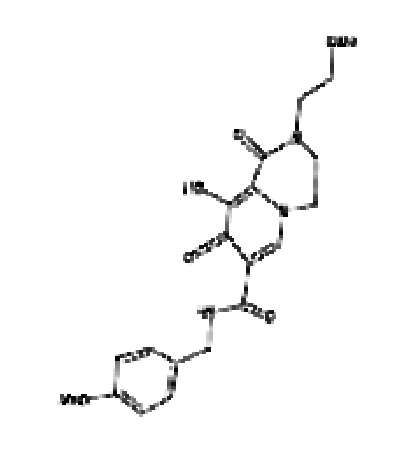 COCCN1CCn2cc(C(=O)NCc3ccc(OC)cc3)c(=O)c(O)c2C1=O